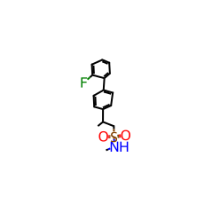 CNS(=O)(=O)CC(C)c1ccc(-c2ccccc2F)cc1